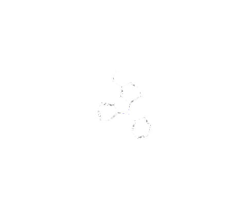 CC(C)(C)Cc1cccc2c1c1ccccc1n2-c1ccccc1